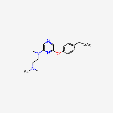 CC(=O)OCc1ccc(Oc2cncc(N(C)CCN(C)C(C)=O)n2)cc1